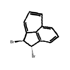 Br[C@H]1c2cccc3cccc(c23)[C@@H]1Br